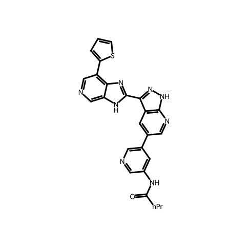 CCCC(=O)Nc1cncc(-c2cnc3[nH]nc(-c4nc5c(-c6cccs6)cncc5[nH]4)c3c2)c1